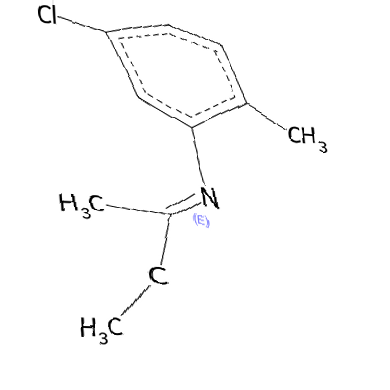 CC/C(C)=N/c1cc(Cl)ccc1C